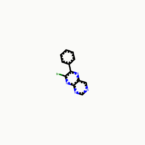 Brc1nc2ncncc2nc1-c1ccccc1